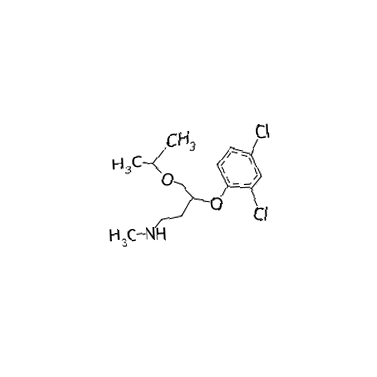 CNCCC(COC(C)C)Oc1ccc(Cl)cc1Cl